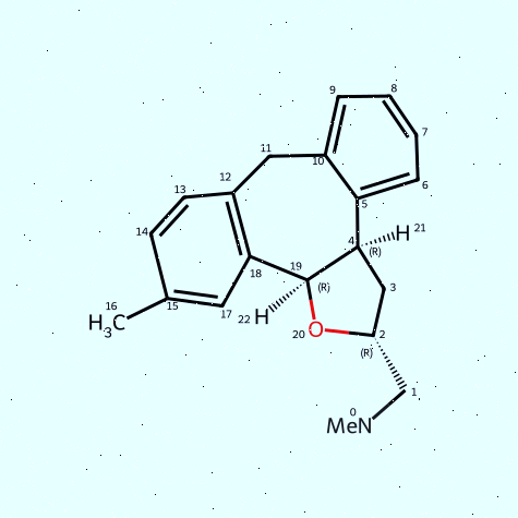 CNC[C@H]1C[C@@H]2c3ccccc3Cc3ccc(C)cc3[C@@H]2O1